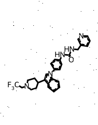 O=C(NCc1cccnc1)Nc1ccc(-n2cc(C3CCN(CC(F)(F)F)CC3)c3ccccc32)cc1